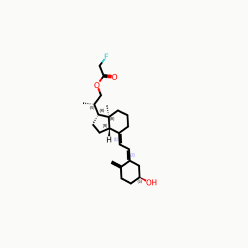 C=C1CC[C@H](O)C/C1=C/C=C1\CCC[C@]2(C)[C@@H]([C@H](C)COC(=O)CF)CC[C@@H]12